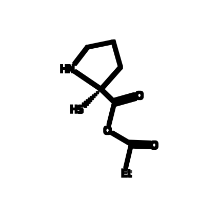 CCC(=O)OC(=O)[C@]1(S)CCCN1